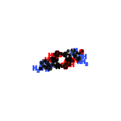 C[C@@H]1[C@@H](n2cnc3c(=O)[nH]c(N)nc32)[C@H](O)[C@@H]2OP(=O)(O)OC[C@H]3C[C@@H](n4cnc5c(N)ncnc54)[C@H](O)[C@@H]3OP(=O)(O)OC[C@@]12C